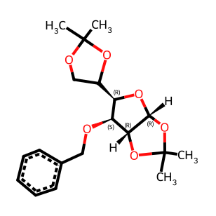 CC1(C)OCC([C@H]2O[C@@H]3OC(C)(C)O[C@@H]3[C@H]2OCc2ccccc2)O1